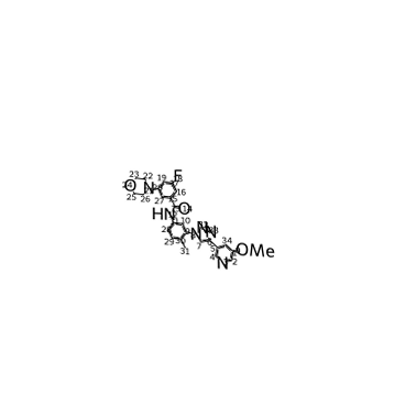 COc1cncc(-c2cn(-c3cc(NC(=O)c4cc(F)cc(N5CCOCC5)c4)ccc3C)nn2)c1